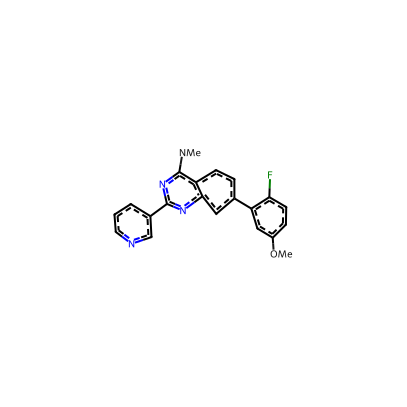 CNc1nc(-c2cccnc2)nc2cc(-c3cc(OC)ccc3F)ccc12